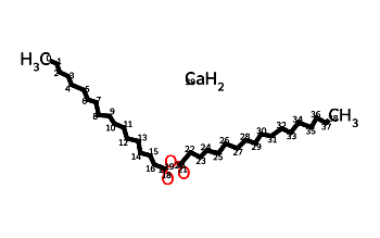 CCCCCCCCCCCCCCCCCC(=O)OC(=O)CCCCCCCCCCCCCCCCC.[CaH2]